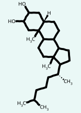 CC(C)CCC[C@@H](C)C1CCC2C3CC[C@H]4CC(O)C(O)CC4(C)C3CCC21C